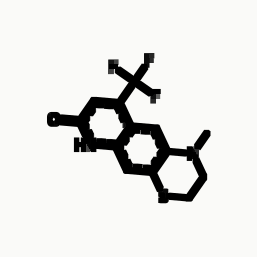 CN1CCSc2cc3[nH]c(=O)cc(C(F)(F)F)c3cc21